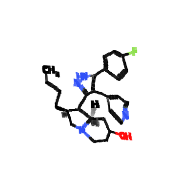 CCCC[C@@H]1CN2CCC(O)C[C@@H]2C1c1n[nH]c(-c2ccc(F)cc2)c1-c1ccncc1